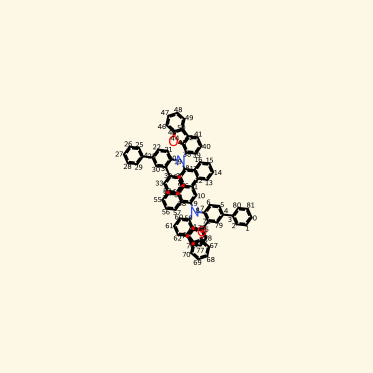 c1ccc(-c2ccc(N(c3cc4c5ccccc5c(N(c5ccc(-c6ccccc6)cc5-c5ccccc5)c5cccc6c5oc5ccccc56)cc4c4ccccc34)c3cccc4c3oc3ccccc34)c(-c3ccccc3)c2)cc1